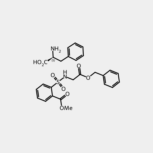 COC(=O)c1ccccc1S(=O)(=O)NCC(=O)OCc1ccccc1.N[C@@H](Cc1ccccc1)C(=O)O